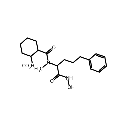 CN(C(=O)C1CCCCC1C(=O)O)C(CCCc1ccccc1)C(=O)NO